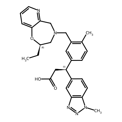 CC[C@@H]1CN(Cc2cc([C@H](CC(=O)O)c3ccc4c(c3)nnn4C)ccc2C)Cc2ncccc2O1